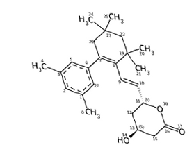 Cc1cc(C)cc(C2=C(C=C[C@H]3C[C@H](O)CC(=O)O3)C(C)(C)CC(C)(C)C2)c1